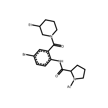 CCC1CCCN(C(=O)c2cc(Br)ccc2NC(=O)C2CCCN2C(C)=O)C1